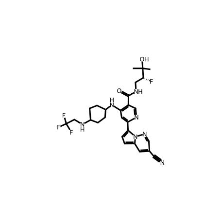 CC(C)(O)[C@H](F)CNC(=O)c1cnc(-c2ccc3cc(C#N)cnn23)cc1NC1CCC(NCC(F)(F)F)CC1